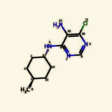 C[C@H]1CC[C@H](Nc2ncnc(Cl)c2N)CC1